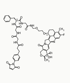 C=C1OCc2c(cc3n(c2=O)Cc2c-3nc3cc(F)c(C)c4c3c2[C@@H](OCCOCNC(=O)CNC(=O)[C@H](Cc2ccccc2)NC(=O)CNC(=O)CNC(=O)CCc2ccc(N3C(=O)C=CC3=O)cc2)CC4)[C@@]1(O)CC